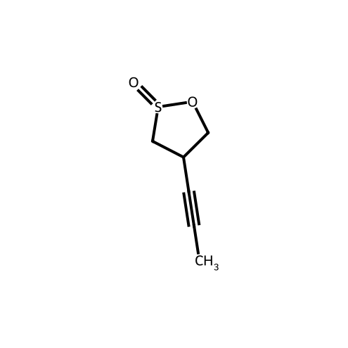 CC#CC1COS(=O)C1